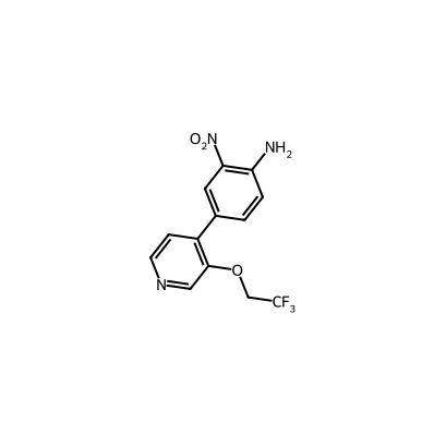 Nc1ccc(-c2ccncc2OCC(F)(F)F)cc1[N+](=O)[O-]